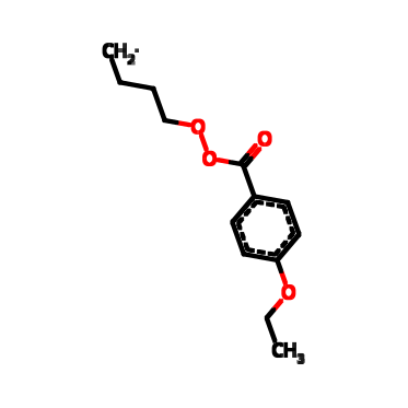 [CH2]CCCOOC(=O)c1ccc(OCC)cc1